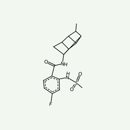 CC1C2C3CC4(NC(=O)c5ccc(F)cc5NS(C)(=O)=O)C1C2C34